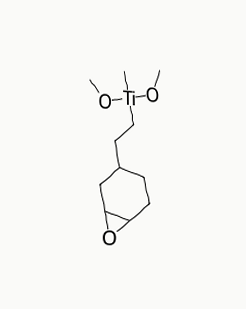 C[O][Ti]([CH3])([CH2]CC1CCC2OC2C1)[O]C